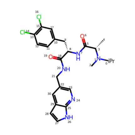 CC(C)N(C)[C@@H](C)C(=O)N[C@@H](Cc1ccc(Cl)c(Cl)c1)C(=O)NCc1cnc2[nH]ccc2c1